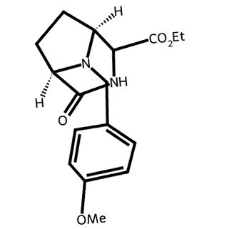 CCOC(=O)C1NC(=O)[C@H]2CC[C@@H]1N2Cc1ccc(OC)cc1